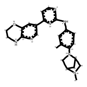 Cc1cc(Nc2nccc(-c3cnc4c(c3)OCCN4)n2)ccc1N1CC2CC1CN2C